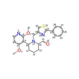 COc1ccnc(OC)c1C1CCCC(C=O)N1Cc1csc(-c2ccccc2)n1